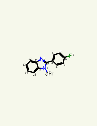 CC(C)n1c(-c2ccc(F)cc2)nc2ccccc21